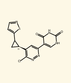 O=c1[nH]cc(-c2cc([C@H]3CC3c3ccns3)c(Cl)nn2)c(=O)[nH]1